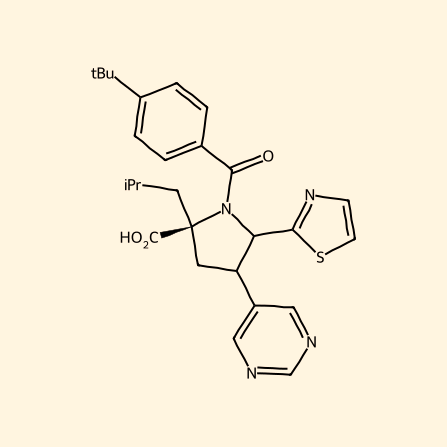 CC(C)C[C@@]1(C(=O)O)CC(c2cncnc2)C(c2nccs2)N1C(=O)c1ccc(C(C)(C)C)cc1